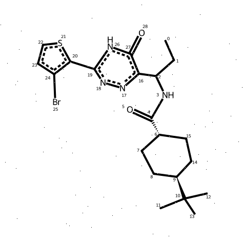 CCC(NC(=O)[C@H]1CC[C@H](C(C)(C)C)CC1)c1nnc(-c2sccc2Br)[nH]c1=O